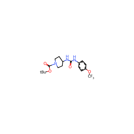 CC(C)(C)OC(=O)N1CCC(NC(=O)Nc2ccc(OC(F)(F)F)cc2)CC1